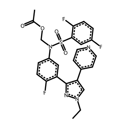 CCn1cc(-c2ccncc2)c(-c2cc(N(COC(C)=O)S(=O)(=O)c3cc(F)ccc3F)ccc2F)n1